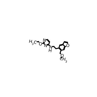 CCOc1nccc(NCCc2cc3ccoc3cc2COC)n1